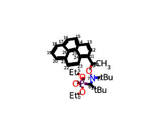 CCOP(=O)(OCC)C(N(OC(C)c1ccc2ccc3cccc4ccc1c2c34)C(C)(C)C)C(C)(C)C